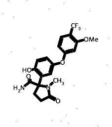 COc1cc(Oc2ccc(O)c(C3(C(N)=O)CCC(=O)N3C)c2)ccc1C(F)(F)F